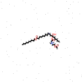 CCCCCCCCCCOC(=O)CCCCCCC/C=C\CC(O)C(CCCCC)OC(=O)C[N+](C)(C)CCOC(C)=O